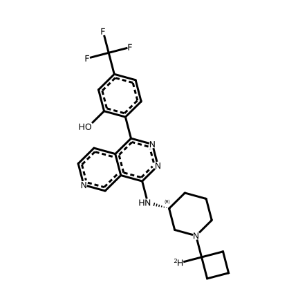 [2H]C1(N2CCC[C@@H](Nc3nnc(-c4ccc(C(F)(F)F)cc4O)c4ccncc34)C2)CCC1